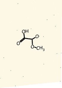 COC([O])C(=O)O